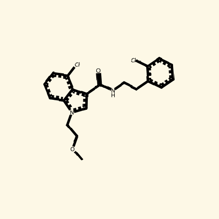 COCCn1cc(C(=O)NCCc2ccccc2Cl)c2c(Cl)cccc21